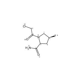 NC(=O)C1C[C@H](F)CN1C(=O)CCl